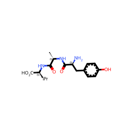 CC(C)[C@H](NC(=O)[C@H](C)NC(=O)[C@@H](N)Cc1ccc(O)cc1)C(=O)O